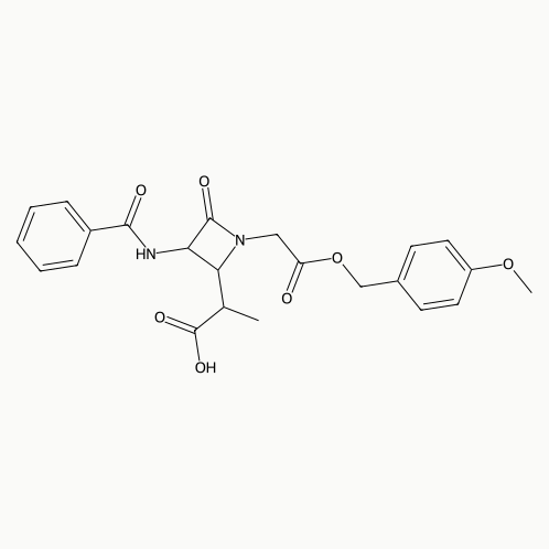 COc1ccc(COC(=O)CN2C(=O)C(NC(=O)c3ccccc3)C2C(C)C(=O)O)cc1